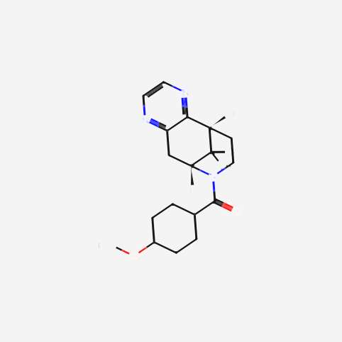 COC1CCC(C(=O)N2CC[C@@]3(C)c4nccnc4C[C@@H]2C3(C)C)CC1